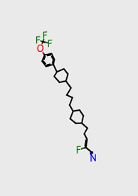 N#CC(F)=CCCC1CCC(CCCCC2CCC(c3ccc(OC(F)(F)F)cc3)CC2)CC1